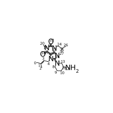 CC(C)=CCn1c(N2CCCC(N)C2)nc2c1c(=O)n(C)c(=O)n2CC(C)C